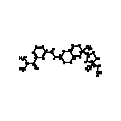 CN(C)C(=O)c1cccc(OC[C@@H]2CCC3=CC(C)([C@H]4CC[C@](N)(CO)C4)CC=C3C2)c1